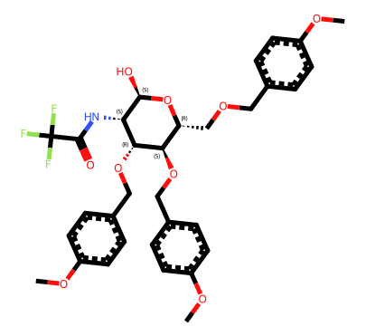 COc1ccc(COC[C@H]2O[C@H](O)[C@@H](NC(=O)C(F)(F)F)[C@@H](OCc3ccc(OC)cc3)[C@@H]2OCc2ccc(OC)cc2)cc1